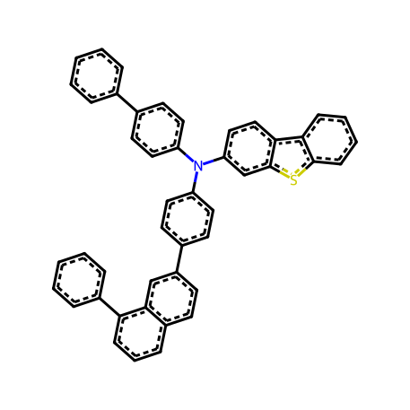 c1ccc(-c2ccc(N(c3ccc(-c4ccc5cccc(-c6ccccc6)c5c4)cc3)c3ccc4c(c3)sc3ccccc34)cc2)cc1